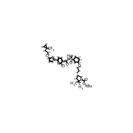 CC(C)(C)OC(=O)N1C[C@@H](CCCOc2cccc(S(=O)(=O)NC(=O)c3ccc(-n4ccc(OCCC5(C(F)(F)F)CC5)n4)nc3Cl)c2)CC1(C)C